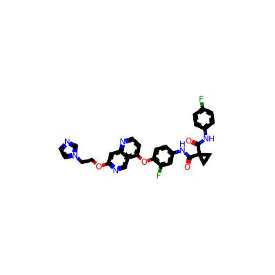 O=C(Nc1ccc(F)cc1)C1(C(=O)Nc2ccc(Oc3ccnc4cc(OCCn5ccnc5)ncc34)c(F)c2)CC1